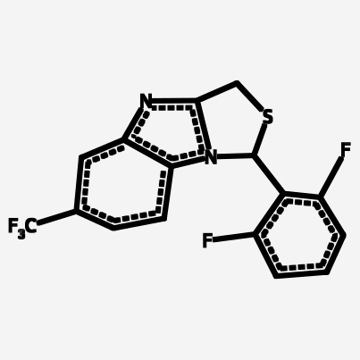 Fc1cccc(F)c1C1SCc2nc3cc(C(F)(F)F)ccc3n21